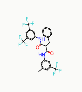 Cc1cc(NC(=O)C(Cc2ccccc2)C(=O)Nc2cc(C(F)(F)F)cc(C(F)(F)F)c2)cc(C(F)(F)F)c1